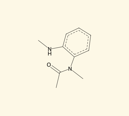 CNc1ccccc1N(C)C(C)=O